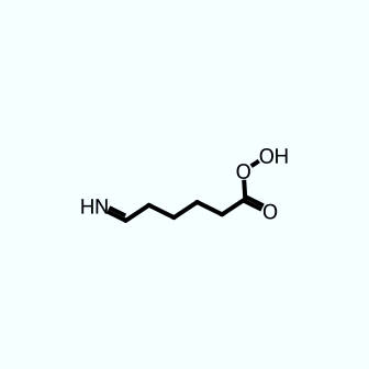 N=CCCCCC(=O)OO